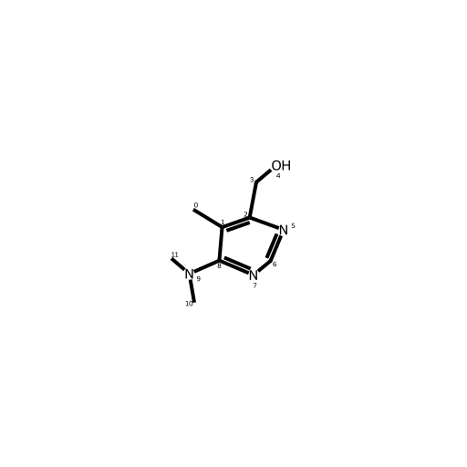 Cc1c(CO)ncnc1N(C)C